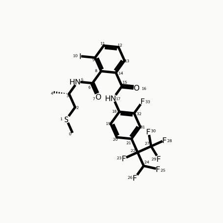 CSC[C@H](C)NC(=O)c1c(I)cccc1C(=O)Nc1ccc(C(F)(C(F)F)C(F)(F)F)cc1F